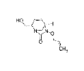 C=CCON1C(=O)N2C[C@H]1C=C[C@H]2CO